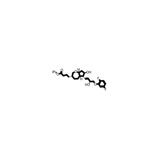 CC(C)OC(=O)CCC[C@H]1CC[C@@H]2[C@@H](C=C[C@@H](O)COc3cc(F)ccc3F)[C@H](O)C[C@@H]2OC1